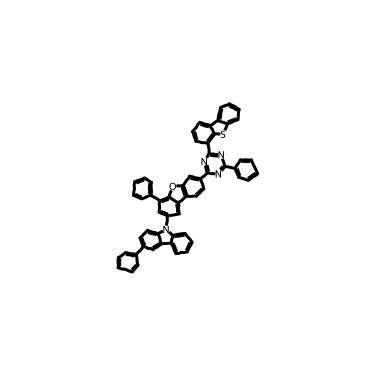 c1ccc(-c2ccc3c(c2)c2ccccc2n3-c2cc(-c3ccccc3)c3oc4cc(-c5nc(-c6ccccc6)nc(-c6cccc7c6sc6ccccc67)n5)ccc4c3c2)cc1